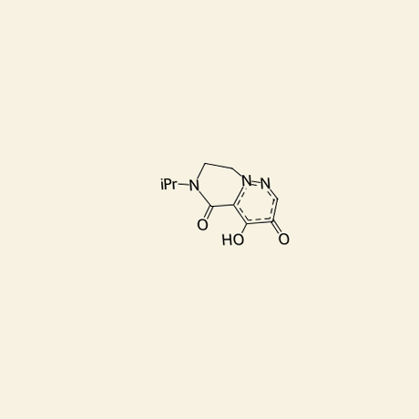 CC(C)N1CCn2ncc(=O)c(O)c2C1=O